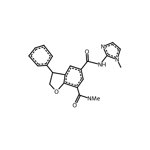 CNC(=O)c1cc(C(=O)Nc2nccn2C)cc2c1OCC2c1ccccc1